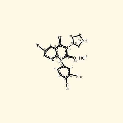 Cl.O=c1c2cc(F)cnc2n(-c2ccc(F)c(F)c2)c(=O)n1[C@@H]1CCNC1